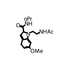 CCCNC(=O)C1C=C2CC=C(OC)C=C2N1CCNC(C)=O